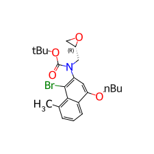 CCCCOc1cc(N(C[C@@H]2CO2)C(=O)OC(C)(C)C)c(Br)c2c(C)cccc12